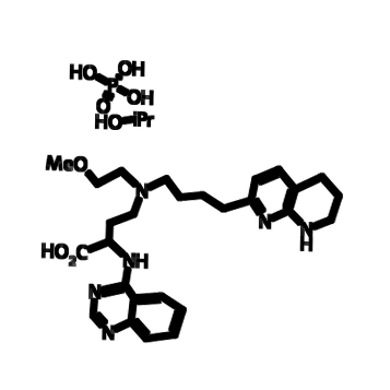 CC(C)O.COCCN(CCCCc1ccc2c(n1)NCCC2)CCC(Nc1ncnc2ccccc12)C(=O)O.O=P(O)(O)O